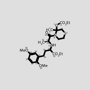 CCOC(=O)OC1(C)CSCCN1C(=O)[C@H](C)NC(CCc1cc(OC)ccc1OC)C(=O)OCC